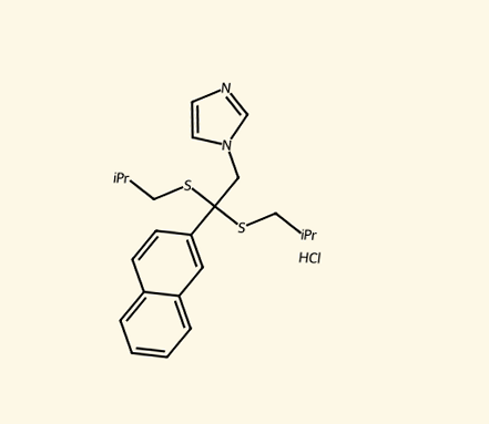 CC(C)CSC(Cn1ccnc1)(SCC(C)C)c1ccc2ccccc2c1.Cl